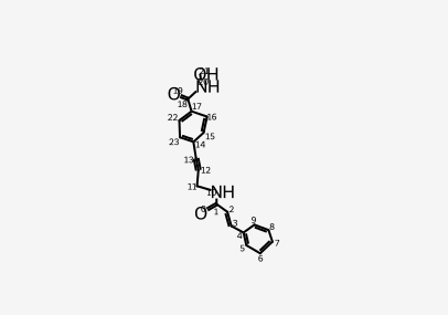 O=C(C=Cc1ccccc1)NCC#Cc1ccc(C(=O)NO)cc1